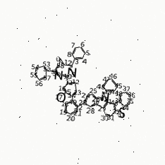 C1=C/C(c2ccccc2)=N\C(c2ccc3c(c2)oc2cccc(-c4ccc5c(c4)c4ccc6sc7ccccc7c6c4n5-c4ccccc4)c23)=N/C(c2ccccc2)=C/1